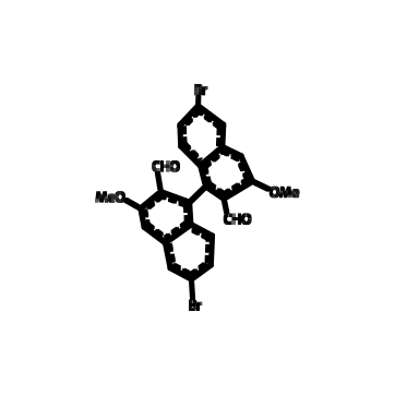 COc1cc2cc(Br)ccc2c(-c2c(C=O)c(OC)cc3cc(Br)ccc23)c1C=O